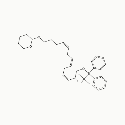 C[C@H](/C=C\C/C=C\C/C=C\CCCOC1CCCCO1)CO[Si](c1ccccc1)(c1ccccc1)C(C)(C)C